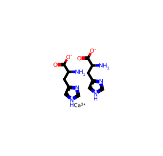 NC(Cc1c[nH]cn1)C(=O)[O-].NC(Cc1c[nH]cn1)C(=O)[O-].[Ca+2]